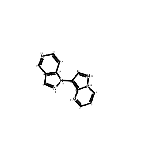 c1cnc2c(-n3ncc4cnccc43)cnn2c1